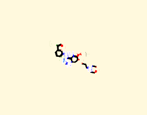 COc1cc2c(Nc3c(Cl)ccc4c(Br)coc34)ncnc2cc1OCCCN1CCOCC1